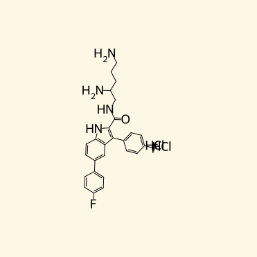 Cl.Cl.NCCCC(N)CNC(=O)c1[nH]c2ccc(-c3ccc(F)cc3)cc2c1-c1ccc(F)cc1